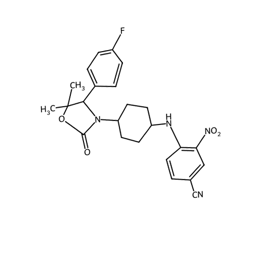 CC1(C)OC(=O)N(C2CCC(Nc3ccc(C#N)cc3[N+](=O)[O-])CC2)C1c1ccc(F)cc1